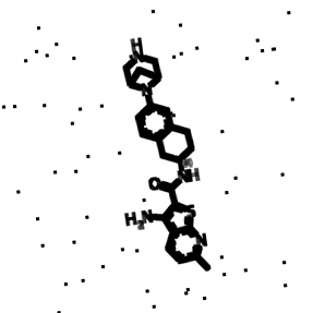 Cc1ccc2c(N)c(C(=O)N[C@@H]3CCc4cc(N5C6CNCC5C6)ccc4C3)sc2n1